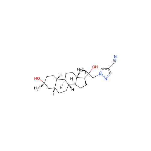 C[C@@]1(O)CC[C@H]2[C@H](CC[C@@H]3[C@@H]2CC[C@@]2(C)[C@H]3CC[C@@H]2[C@](C)(O)Cn2cc(C#N)cn2)C1